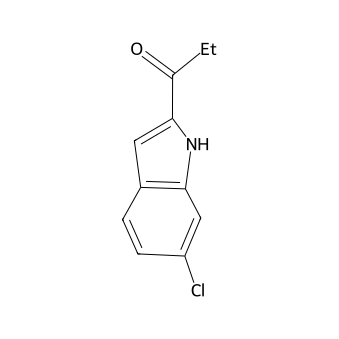 CCC(=O)c1cc2ccc(Cl)cc2[nH]1